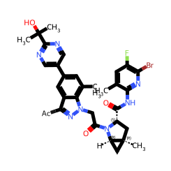 CC(=O)c1nn(CC(=O)N2[C@H](C(=O)Nc3nc(Br)c(F)cc3C)C[C@@]3(C)C[C@@H]23)c2c(C)cc(-c3cnc(C(C)(C)O)nc3)cc12